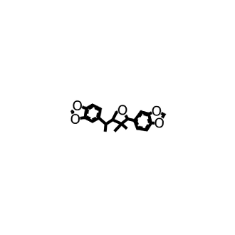 CC(c1ccc2c(c1)OCO2)C1COC(c2ccc3c(c2)OCO3)C1(C)C